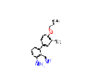 CCc1cc(-c2cccc(N)c2C=N)ccc1OCCC(C)CC